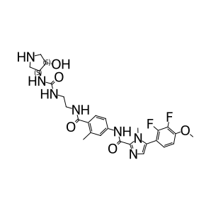 COc1ccc(-c2cnc(C(=O)Nc3ccc(C(=O)NCCNC(=O)N[C@H]4CNC[C@@H]4O)c(C)c3)n2C)c(F)c1F